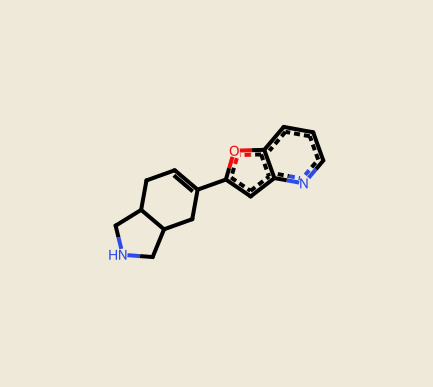 C1=C(c2cc3ncccc3o2)CC2CNCC2C1